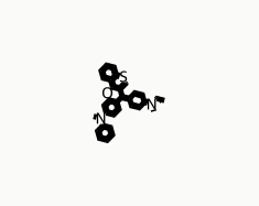 CC[N+](C)=C1C=CC(=C(c2ccc(N(C)c3ccccc3)cc2)c2csc3ccccc3c2=O)C=C1